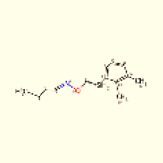 CCCC=NOC[SiH2]c1cccc(C)c1C